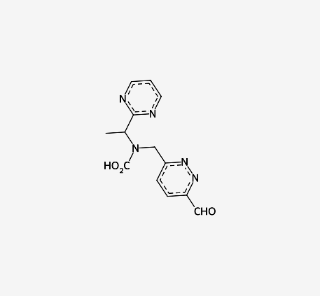 CC(c1ncccn1)N(Cc1ccc(C=O)nn1)C(=O)O